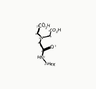 CCCCCCNC(=O)CN(CC(=O)O)CC(=O)O